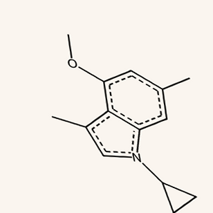 COc1cc(C)cc2c1c(C)cn2C1CC1